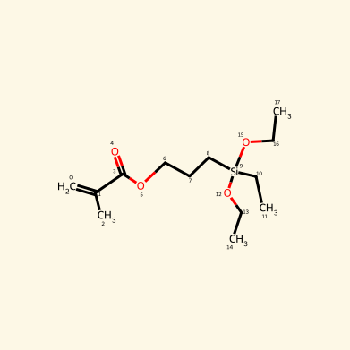 C=C(C)C(=O)OCCC[Si](CC)(OCC)OCC